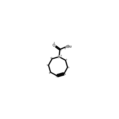 CC(C)(C)C(=O)N1CCC#CCCC1